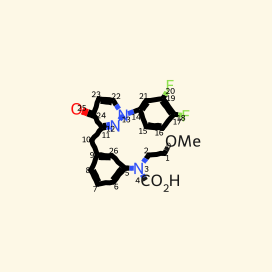 COCCN(C(=O)O)c1cccc(Cc2nn(-c3ccc(F)c(F)c3)ccc2=O)c1